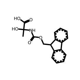 CC(O)(NC(=O)OCC1c2ccccc2-c2ccccc21)C(=O)O